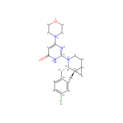 O=c1cc(N2CCOCC2)nc(N2CCC3C[C@@H]3[C@@H]2Cc2ccc(F)cc2)[nH]1